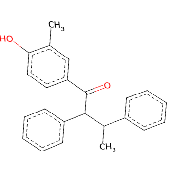 Cc1cc(C(=O)C(c2ccccc2)C(C)c2ccccc2)ccc1O